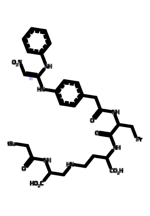 CC(C)CC(NC(=O)Cc1ccc(N/C(=C/[N+](=O)[O-])Nc2ccccc2)cc1)C(=O)NC(CCNCC(NC(=O)CC(C)(C)C)C(=O)O)C(=O)O